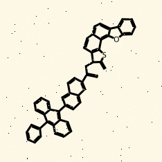 C=C(CC1C(=C)Sc2c1ccc1ccc3c4ccccc4oc3c21)c1ccc2cc(-c3c4ccccc4c(-c4ccccc4)c4ccccc34)ccc2c1